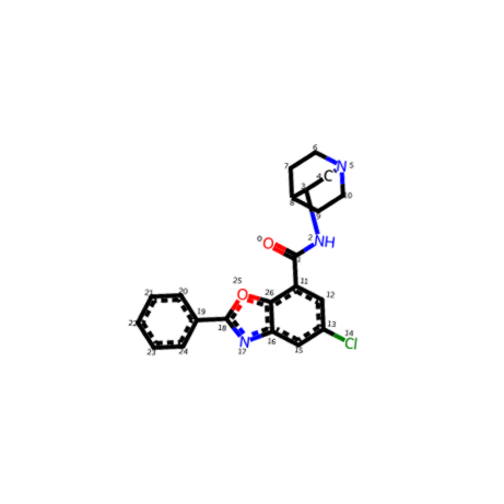 O=C(NC1CN2CCC1CC2)c1cc(Cl)cc2nc(-c3ccccc3)oc12